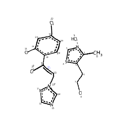 Cc1ncsc1CCCl.Cl.Cl/C(=C\n1cncn1)c1ccc(Cl)cc1Cl